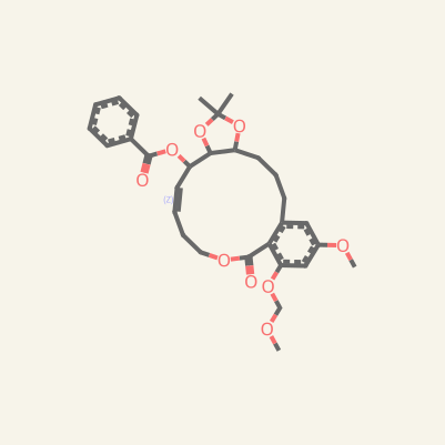 COCOc1cc(OC)cc2c1C(=O)OCC/C=C\C(OC(=O)c1ccccc1)C1OC(C)(C)OC1CCC2